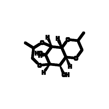 CC1CO[C@H]2[C@H](O)[C@H]3OCC(C)O[C@H]([C@H]3O)[C@@H]2O1